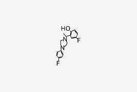 CC(c1cc(F)ccc1O)N1CCN(c2ccc(F)cc2)CC1